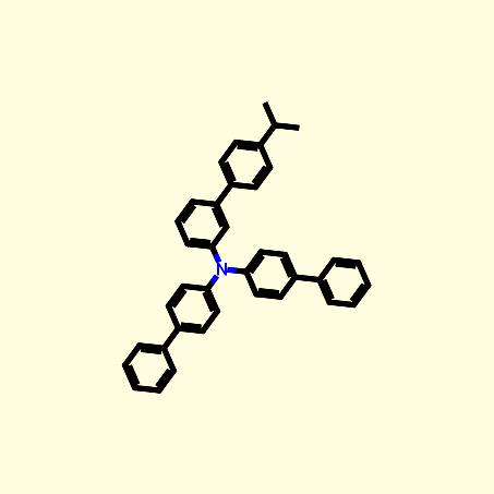 CC(C)c1ccc(-c2cccc(N(c3ccc(-c4ccccc4)cc3)c3ccc(-c4ccccc4)cc3)c2)cc1